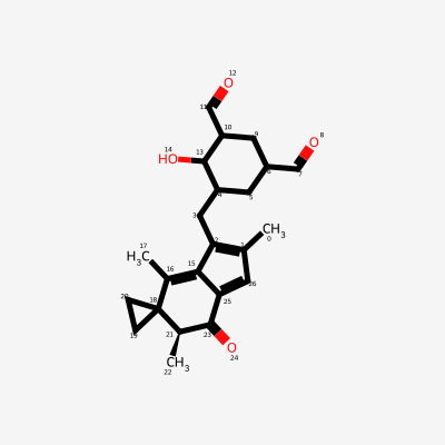 CC1=C(CC2CC(C=O)CC(C=O)C2O)C2=C(C)C3(CC3)[C@H](C)C(=O)C2=C1